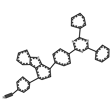 N#Cc1ccc(-c2ccc(-c3ccc(-c4nc(-c5ccccc5)nc(-c5ccccc5)n4)cc3)c3sc4ccccc4c23)cc1